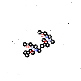 c1ccc(-n2c3cccc(-c4ccc5c(c4)-c4cccc6c(-n7c8ccccc8c8ccc9c%10ccc%11c%12ccccc%12oc%11c%10n(-c%10ccccc%10)c9c87)ccc-5c46)c3c3ccc4c5ccc6c7ccccc7oc6c5n(-c5ccc6c(c5)-c5cccc7cccc-6c57)c4c32)cc1